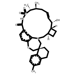 Cc1ccc2c(c1)CCC[C@]21COc2ccc3cc2N(C[C@@H]2CC[C@H]2[C@@H](O)/C=C/C[C@H](C)[C@@H](C)S(=O)(=O)NC3=O)C1